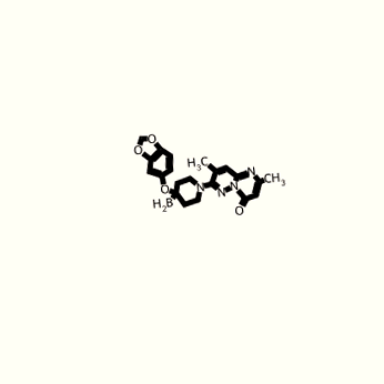 BC1(Oc2ccc3c(c2)OCO3)CCN(c2nn3c(=O)cc(C)nc3cc2C)CC1